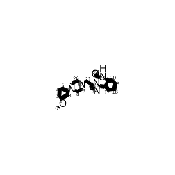 COc1cccc(N2CCN(CC3CN=C4c5ccccc5NC(=O)N43)CC2)c1